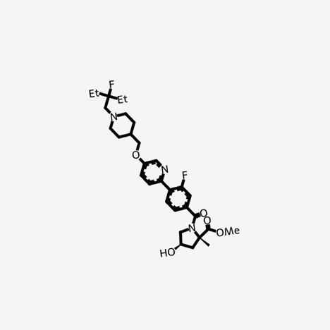 CCC(F)(CC)CN1CCC(COc2ccc(-c3ccc(C(=O)N4C[C@H](O)C[C@@]4(C)C(=O)OC)cc3F)nc2)CC1